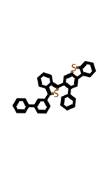 c1ccc(-c2cccc(-c3sc(-c4cc5sc6ccccc6c5cc4-c4ccccc4)c4ccccc34)c2)cc1